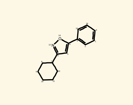 c1ccc(-c2cc(C3CCCCC3)no2)cc1